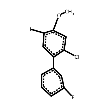 COc1cc(Cl)c(-c2cccc(F)c2)cc1I